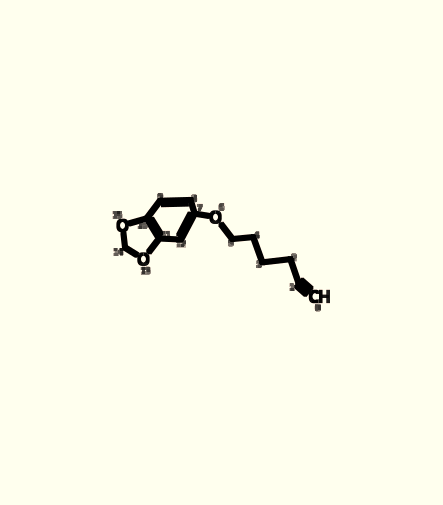 C#CCCCCOc1ccc2c(c1)OCO2